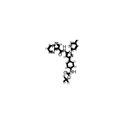 Cc1ccc(-n2nc(C3CCC(NC(=O)OC(C)(C)C)CC3)cc2NC(=O)c2cnn3cccnc23)nc1